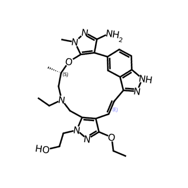 CCOc1nn(CCO)c2c1/C=C/c1n[nH]c3ccc(cc13)-c1c(N)nn(C)c1O[C@@H](C)CN(CC)C2